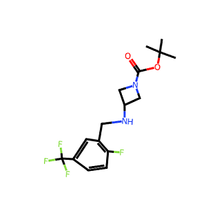 CC(C)(C)OC(=O)N1CC(NCc2cc(C(F)(F)F)ccc2F)C1